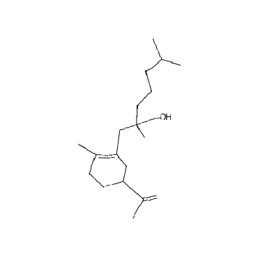 C=C(C)C1CCC(C)=C(CC(C)(O)CCCC(C)C)C1